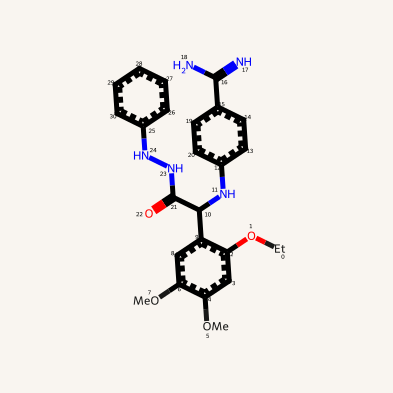 CCOc1cc(OC)c(OC)cc1C(Nc1ccc(C(=N)N)cc1)C(=O)NNc1ccccc1